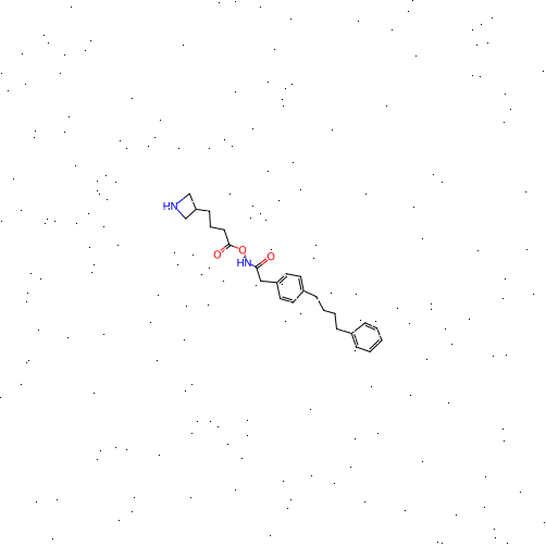 O=C(Cc1ccc(CCCCc2ccccc2)cc1)NOC(=O)CCCC1CNC1